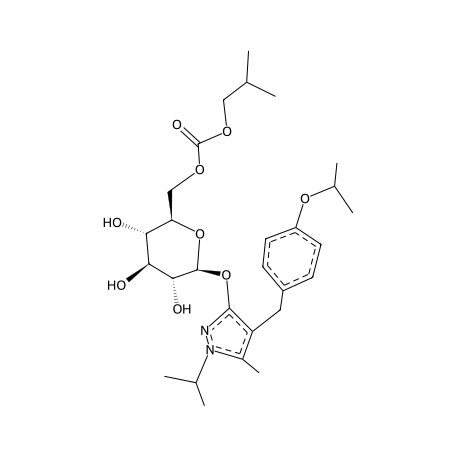 Cc1c(Cc2ccc(OC(C)C)cc2)c(O[C@@H]2O[C@H](COC(=O)OCC(C)C)[C@@H](O)[C@H](O)[C@H]2O)nn1C(C)C